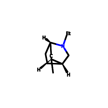 CCN1C[C@@H]2CC[C@H]1C[C@@H]2C